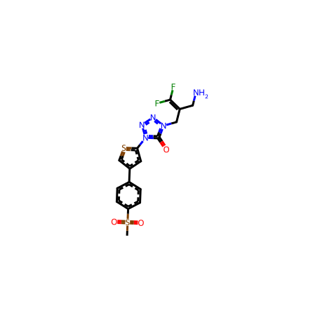 CS(=O)(=O)c1ccc(-c2csc(-n3nnn(CC(CN)=C(F)F)c3=O)c2)cc1